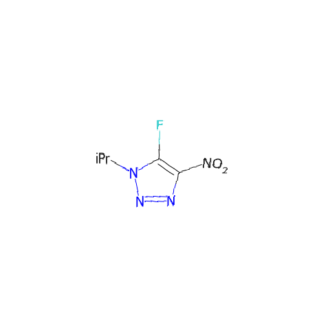 CC(C)n1nnc([N+](=O)[O-])c1F